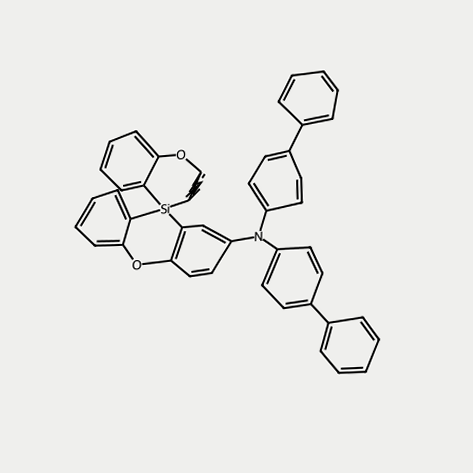 c1ccc(-c2ccc(N(c3ccc(-c4ccccc4)cc3)c3ccc4c(c3)[Si]3(c5ccccc5Oc5ccccc53)c3ccccc3O4)cc2)cc1